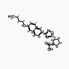 CCCCOc1ccc2cc(-c3noc([C@@H]4CCCN4C(=O)O)n3)ccc2c1